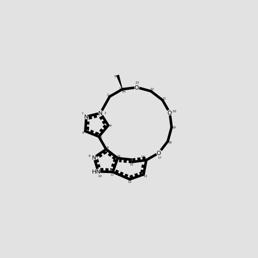 C[C@@H]1Cn2cc(cn2)-c2n[nH]c3ccc(cc23)OCCOCCO1